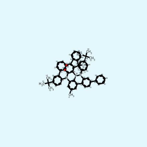 Cc1cc2c3c(c1)N(c1ccc(C(C)(C)C)cc1-c1ccccc1)c1ccc4c(c1B3N(c1ccc(C(C)(C)C)cc1)c1cc(-c3ccccc3)ccc1-2)C(C)(C)c1ccccc1-4